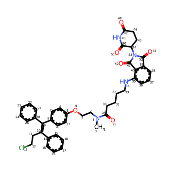 CN(CCOc1ccc(C(=C(CCCl)c2ccccc2)c2ccccc2)cc1)C(=O)CCCCNc1cccc2c1C(=O)N(C1CCC(=O)NC1=O)C2=O